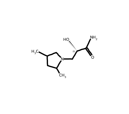 CC1CC(C)N(C[C@H](O)C(N)=O)C1